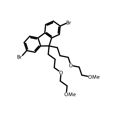 COCCOCCCC1(CCCOCCOC)c2cc(Br)ccc2-c2ccc(Br)cc21